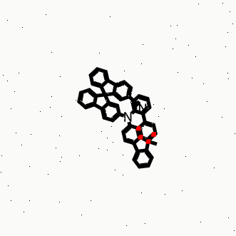 CC1(C)c2ccccc2-c2ccc(N(c3ccc4c(c3)C3(c5ccccc5-c5ccc(C#N)cc53)c3ccccc3-4)c3ccccc3-c3ccccc3)cc21